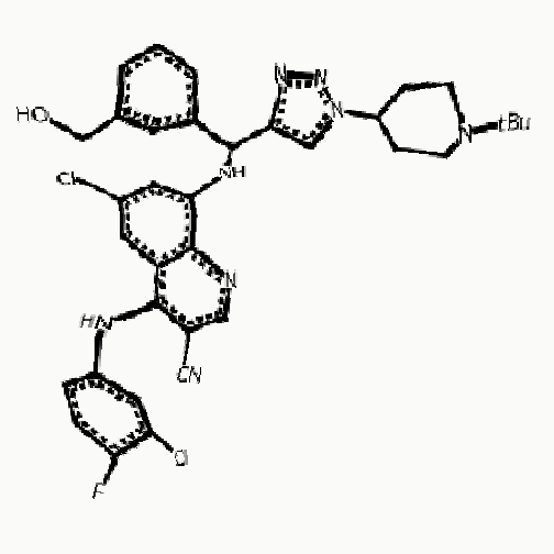 CC(C)(C)N1CCC(n2cc([C@@H](Nc3cc(Cl)cc4c(Nc5ccc(F)c(Cl)c5)c(C#N)cnc34)c3cccc(CO)c3)nn2)CC1